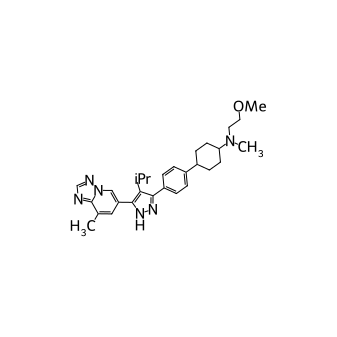 COCCN(C)C1CCC(c2ccc(-c3n[nH]c(-c4cc(C)c5ncnn5c4)c3C(C)C)cc2)CC1